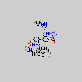 C=C(/C=C\C(=C1\C=C(c2cnn(C)c2)NC1)c1cccc(NC(=O)c2nccs2)c1CO[Si](C)(C)C(C)(C)C)C(N)=O